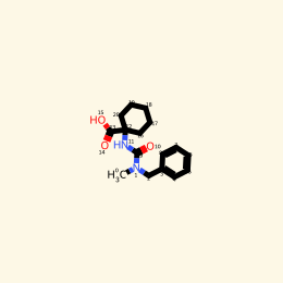 CN(Cc1ccccc1)C(=O)NC1(C(=O)O)CCCCC1